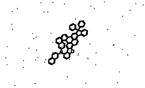 c1ccc(C2(c3ccccc3)c3ccccc3-c3ccc(-c4ccccc4-c4cc5c(oc6cccc(N(c7ccc8ccccc8c7)c7ccc8ccccc8c7)c65)c5ccccc45)cc32)cc1